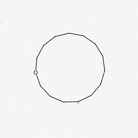 [C]1CCCCCCCCCCOCCC1